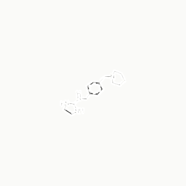 C1=CNC(NCc2ccc(CN3CCCCC3)cc2)N1